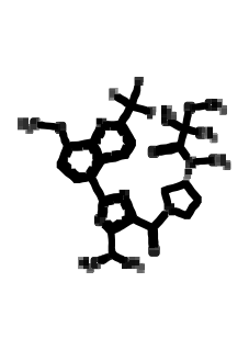 COc1ccc(-c2nc(C(=O)N3CC[C@@H](N(C)C(=O)C(C)(C)OC)C3)c([C@H](C)N)o2)c2ccc(C(F)(F)F)nc12